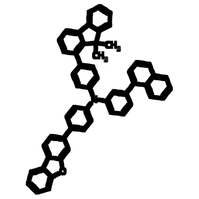 CC1(C)c2ccccc2-c2cccc(-c3ccc(N(c4ccc(-c5ccc6c(c5)oc5ccccc56)cc4)c4cccc(-c5cccc6ccccc56)c4)cc3)c21